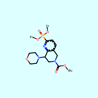 CCOP(=O)(OCC)c1ccc2c(n1)C(N1CCOCC1)CN(C(=O)OC(C)(C)C)C2